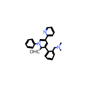 CN(C)Cc1ccccc1C1=CC(c2ccccn2)=CN(c2ccccc2)C1C=O